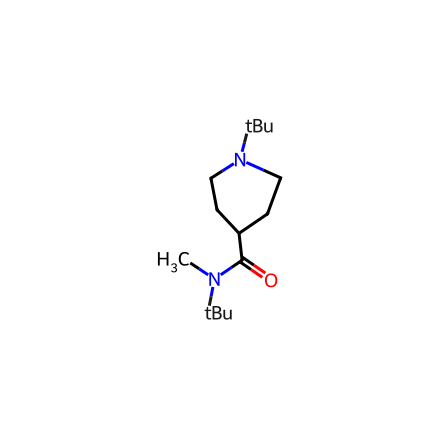 CN(C(=O)C1CCN(C(C)(C)C)CC1)C(C)(C)C